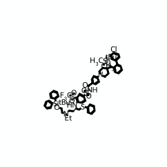 CCN(CCO[Si](c1ccccc1)(c1ccccc1)C(C)(C)C)CC[C@H](CSc1ccccc1)Nc1ccc(S(=O)(=O)NC(=O)c2ccc(N3CCC(C(O[Si](C)(C)C(C)(C)C)c4ccccc4-c4ccc(Cl)cc4)CC3)cc2)cc1S(=O)(=O)C(F)(F)F